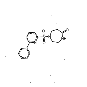 O=C1CCN(S(=O)(=O)c2cccc(-c3ccccc3)n2)CCN1